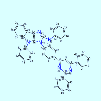 c1ccc(-c2cc(-c3ccc4c(c3)n(-c3ccccc3)c3nc5c6ccccc6n(-c6ccccc6)c5n43)nc(-c3ccccc3)n2)cc1